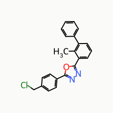 Cc1c(-c2ccccc2)cccc1-c1nnc(-c2ccc(CCl)cc2)o1